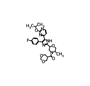 CC(C)Oc1nccc(-c2[nH]c(C3CN(C(=O)C4COCOC4)C(C)CO3)nc2-c2ccc(F)cc2)n1